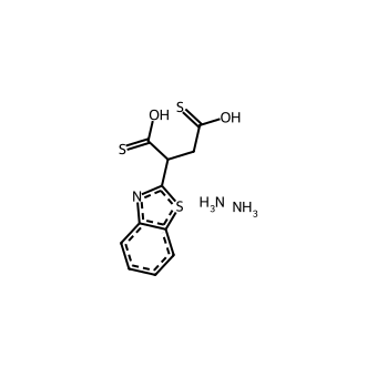 N.N.OC(=S)CC(C(O)=S)c1nc2ccccc2s1